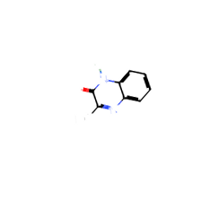 Cc1nc2ccccc2n(Cl)c1=O